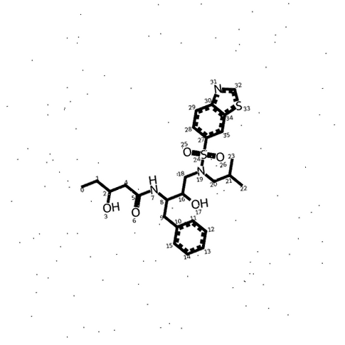 CCC(O)CC(=O)NC(Cc1ccccc1)C(O)CN(CC(C)C)S(=O)(=O)c1ccc2ncsc2c1